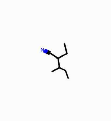 CC[C](C#N)C(C)CC